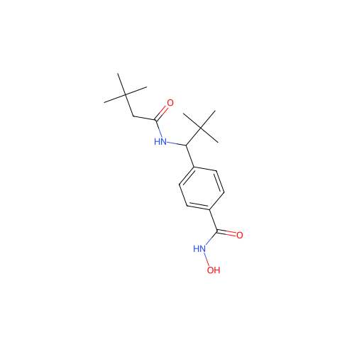 CC(C)(C)CC(=O)NC(c1ccc(C(=O)NO)cc1)C(C)(C)C